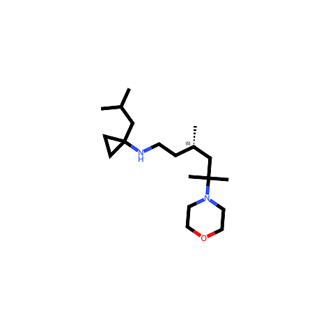 CC(C)CC1(NCC[C@H](C)CC(C)(C)N2CCOCC2)CC1